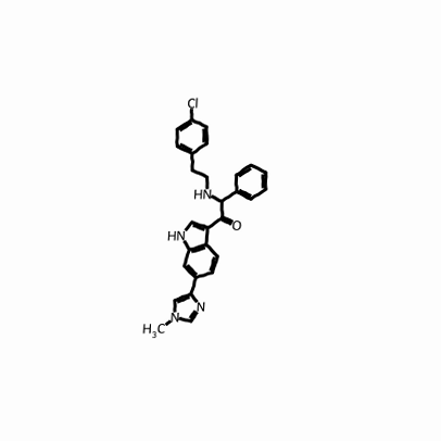 Cn1cnc(-c2ccc3c(C(=O)C(NCCc4ccc(Cl)cc4)c4ccccc4)c[nH]c3c2)c1